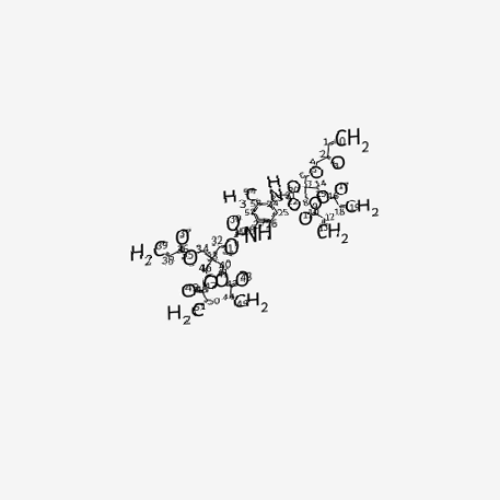 C=CC(=O)COCC(COC(=O)C=C)(COC(=O)C=C)OC(=O)Nc1ccc(NC(=O)OCC(COC(=O)C=C)(COC(=O)C=C)COC(=O)C=C)cc1C